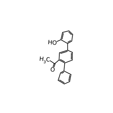 CC(=O)c1cc(-c2ccccc2O)ccc1-c1ccccc1